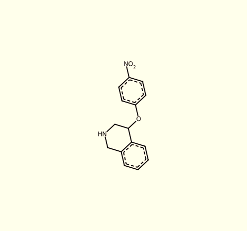 O=[N+]([O-])c1ccc(OC2CNCc3ccccc32)cc1